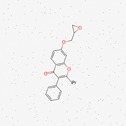 CC(C)c1oc2cc(OCC3CO3)ccc2c(=O)c1-c1ccccc1